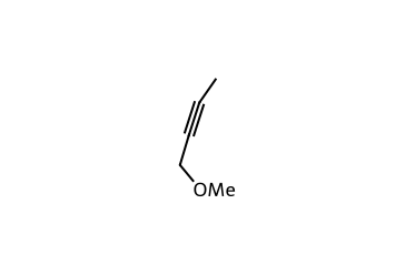 [CH2]OCC#CC